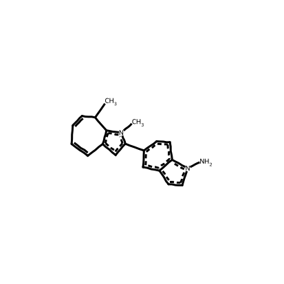 CC1C=CC=Cc2cc(-c3ccc4c(ccn4N)c3)n(C)c21